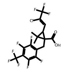 CC1(C)C(C=C(Cl)C(F)(F)F)C1(Cc1c(F)c(F)c(C(F)(F)F)c(F)c1F)C(=O)O